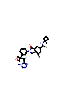 C[C@H](NC1(C)CCC1)c1cc2c(c(C(F)(F)F)c1)CN(c1cccc(C3(C(F)c4nncn4C)COC3)c1)C2=O